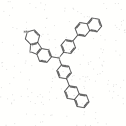 C1=Cc2c(sc3ccc(N(c4ccc(-c5ccc6ccccc6c5)cc4)c4ccc(-c5ccc6ccccc6c5)cc4)cc23)CN1